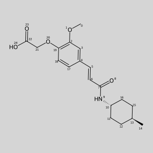 COc1cc(/C=C/C(=O)N[C@H]2CC[C@H](C)CC2)ccc1OCC(=O)O